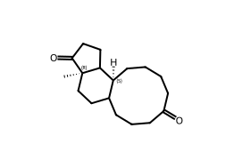 C[C@@]12CCC3CCCC(=O)CCCC[C@@H]3C1CCC2=O